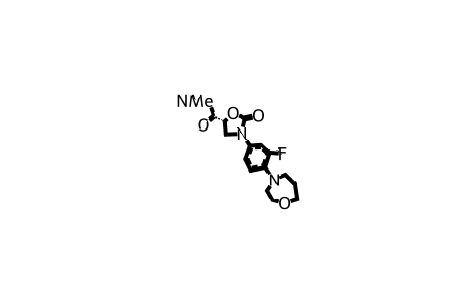 CNC(=O)[C@H]1CN(c2ccc(N3CCCOCC3)c(F)c2)C(=O)O1